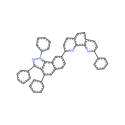 c1ccc(-c2ccc3ccc4ccc(-c5ccc6cc(-c7ccccc7)c7c(-c8ccccc8)nn(-c8ccccc8)c7c6c5)nc4c3n2)cc1